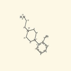 CC(C)c1ccccc1N1CCN(CCN)CC1